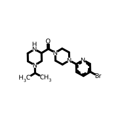 CC(C)N1CCNC(C(=O)N2CCN(c3ccc(Br)cn3)CC2)C1